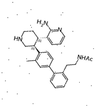 CC(=O)NCCc1ccccc1-c1ccc([C@H]2CNCC[C@@H]2c2cccnc2N)c(C)c1